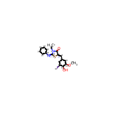 CCN1C(=O)/C(=C/c2cc(I)c(O)c(OC)c2)S/C1=N/c1ccccc1